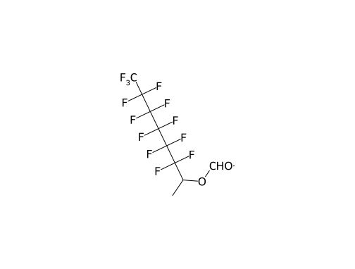 CC(O[C]=O)C(F)(F)C(F)(F)C(F)(F)C(F)(F)C(F)(F)C(F)(F)F